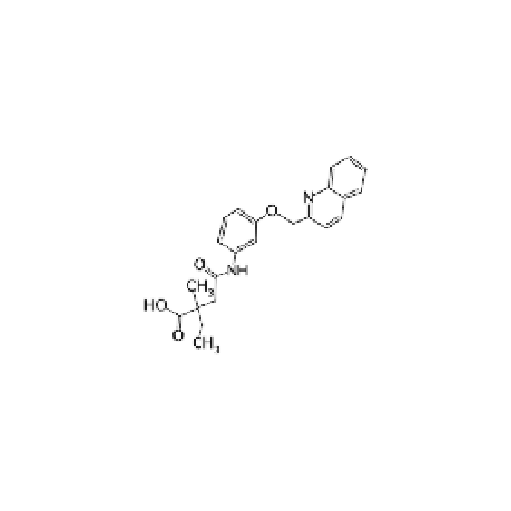 CCC(C)(CC(=O)Nc1cccc(OCc2ccc3ccccc3n2)c1)C(=O)O